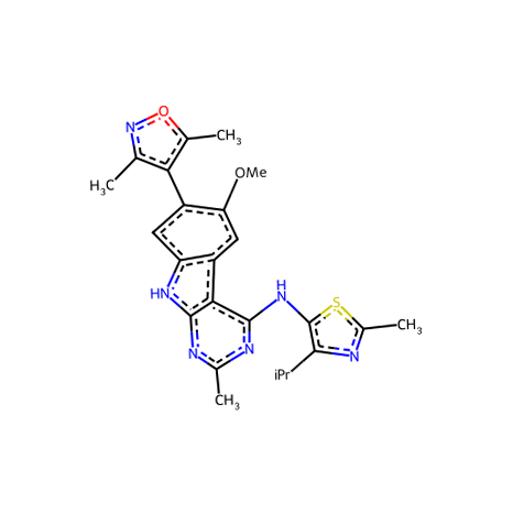 COc1cc2c(cc1-c1c(C)noc1C)[nH]c1nc(C)nc(Nc3sc(C)nc3C(C)C)c12